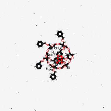 CCC1OC2OC3C(CC)OC(OC4C(CC)OC(OC5C(COCc6ccccc6)OC(OC6C(COCc7ccccc7)OC(OC7C(COCc8ccccc8)OC(OC1C(C)C2OCc1ccccc1)C(OCc1ccccc1)C7C)C(C)C6C)C(C)C5OCc1ccccc1)C(C)C4OCc1ccccc1)C(OCc1ccccc1)C3OCc1ccccc1